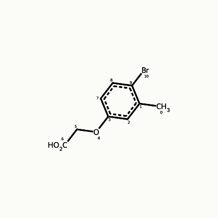 Cc1cc(OCC(=O)O)ccc1Br